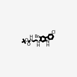 CC(C)(C)OC(=O)NCCNc1cc2[nH]c3ccc(Cl)cc3c2cc1Br